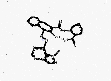 Cn1ncc2ncnc(/N=N/c3c(O)c(C(=O)Nc4ccccc4C(N)=O)cc4ccccc34)c21